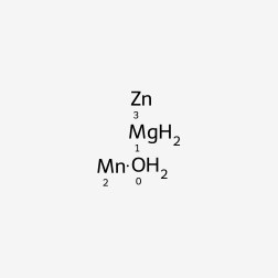 O.[MgH2].[Mn].[Zn]